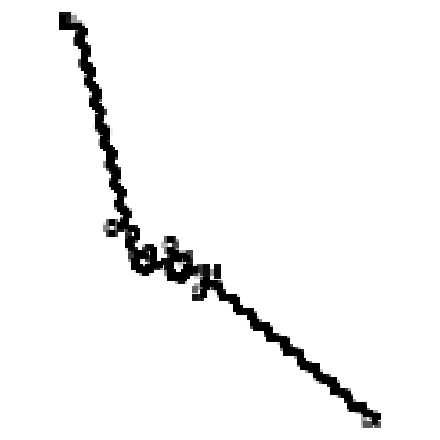 CCC=CCC=CCC=CCC=CCC=CCCCCCC(=O)Nc1ccn([C@@H]2CC[C@@H](COC(=O)CCCCCC=CCC=CCC=CCC=CCC=CCC)O2)c(=O)n1